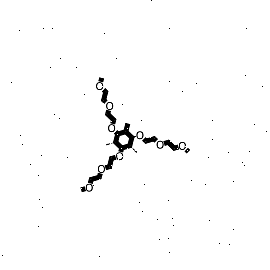 COCCOCCOC1C(C)[C@H](OCCOCCOC)[C@H](C)C(OCCOCCOC)[C@@H]1C